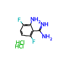 Cl.Cl.N=C(N)c1c(F)ccc(F)c1N